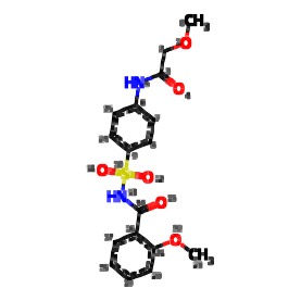 COCC(=O)Nc1ccc(S(=O)(=O)NC(=O)c2ccccc2OC)cc1